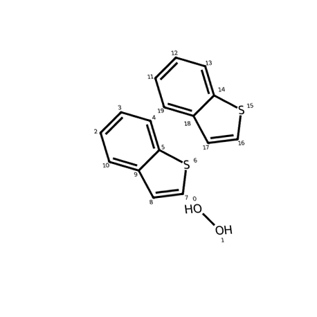 OO.c1ccc2sccc2c1.c1ccc2sccc2c1